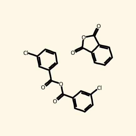 O=C(OC(=O)c1cccc(Cl)c1)c1cccc(Cl)c1.O=C1OC(=O)c2ccccc21